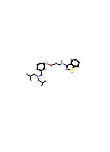 CC(C)CN(Cc1cccc(OCCCNc2nsc3ccccc23)c1)CC(C)C